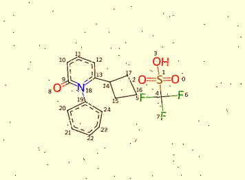 O=S(=O)(O)C(F)(F)F.O=c1cccc(C2CCC2)n1-c1ccccc1